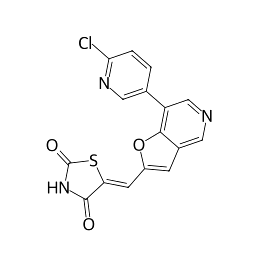 O=C1NC(=O)C(=Cc2cc3cncc(-c4ccc(Cl)nc4)c3o2)S1